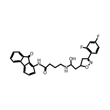 O=C(CCCNC(O)CC1CC(c2ccc(F)cc2F)=NO1)Nc1cccc2c1C(=O)c1ccccc1-2